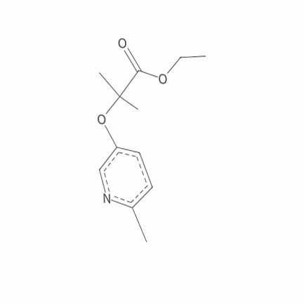 CCOC(=O)C(C)(C)Oc1ccc(C)nc1